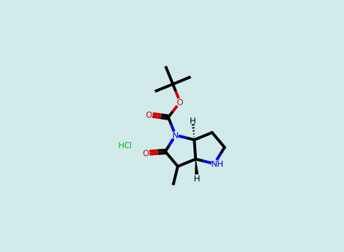 CC1C(=O)N(C(=O)OC(C)(C)C)[C@H]2CCN[C@H]12.Cl